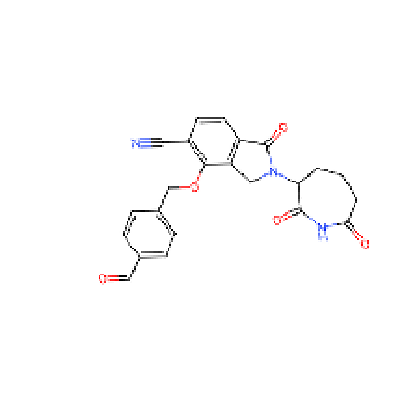 N#Cc1ccc2c(c1OCc1ccc(C=O)cc1)CN(C1CCCC(=O)NC1=O)C2=O